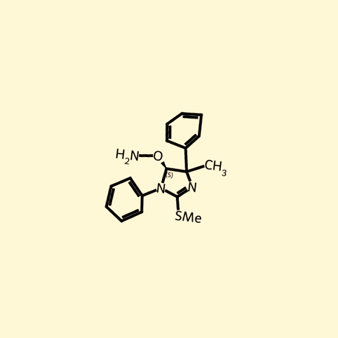 CSC1=NC(C)(c2ccccc2)[C@H](ON)N1c1ccccc1